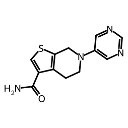 NC(=O)c1csc2c1CCN(c1cncnc1)C2